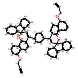 C#CCOc1cccc2c3c(ccc12)C(c1ccc(C2=CC4(Oc5c2ccc2c(OCC#C)cccc52)c2ccccc2-c2ccccc24)cc1)=CC1(O3)c2ccccc2-c2ccccc21